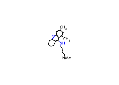 CNCCCCNc1c2c(nc3cc(C)cc(C)c13)CCCC2